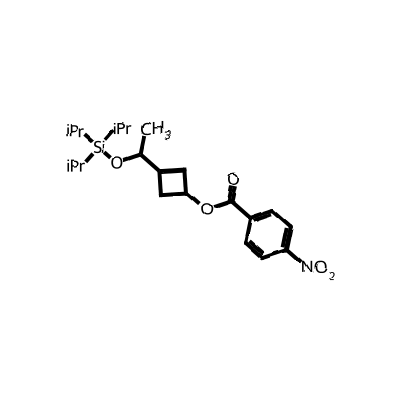 CC(O[Si](C(C)C)(C(C)C)C(C)C)C1CC(OC(=O)c2ccc([N+](=O)[O-])cc2)C1